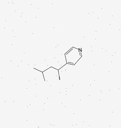 CC(C)CC(I)c1ccncc1